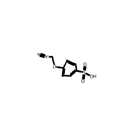 N#[N+]COc1ccc(S(=O)(=O)O)cc1